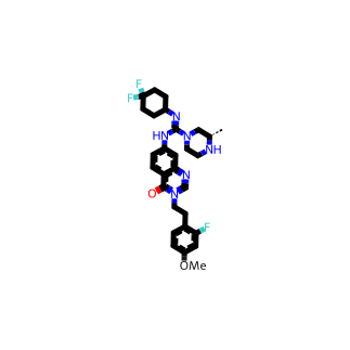 COc1ccc(CCn2cnc3cc(N/C(=N\C4CCC(F)(F)CC4)N4CCN[C@@H](C)C4)ccc3c2=O)c(F)c1